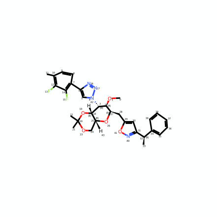 CO[C@@H]1[C@@H](n2cc(-c3ccc(C)c(F)c3F)nn2)[C@H]2OC(C)(C)OC[C@H]2O[C@@H]1Cc1cc([C@H](C)c2ccccc2)no1